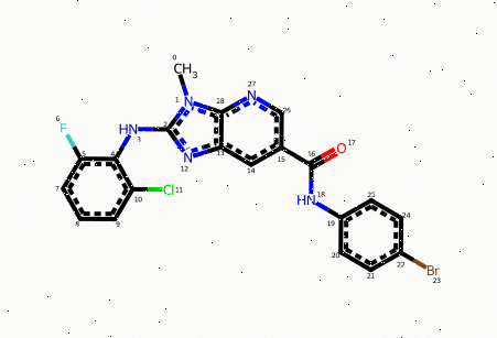 Cn1c(Nc2c(F)cccc2Cl)nc2cc(C(=O)Nc3ccc(Br)cc3)cnc21